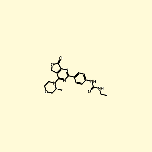 CCNC(=O)Nc1ccc(-c2nc3c(c(N4CCOC[C@@H]4C)n2)COC3=O)cc1